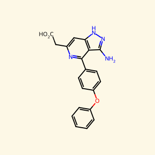 Nc1n[nH]c2cc(CC(=O)O)nc(-c3ccc(Oc4ccccc4)cc3)c12